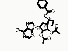 CC(=O)OC1C(OC(C)=O)[C@@]2(CC[C@H]2OC(=O)c2ccccc2)C[C@H]1n1cnc2c(Cl)ncnc21